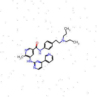 CCCN(CCC)CCc1ccc(NC(=O)c2cnc(C)c(Nc3nccc(-c4cccnc4)n3)c2)cc1